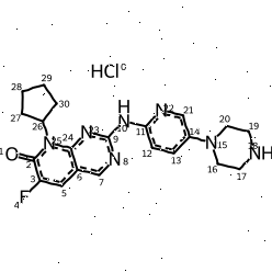 Cl.O=c1c(F)cc2cnc(Nc3ccc(N4CCNCC4)cn3)nc2n1C1CCCC1